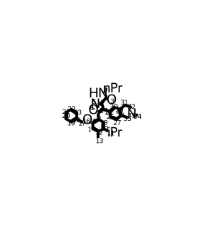 CCCNC(=O)c1noc(-c2cc(C(C)C)c(C)cc2OCc2ccccc2)c1-c1ccc2c(c1)CCN(C)C2